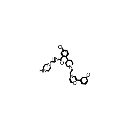 O=C1C=CC=C(C2=CN(CCN3CCC(c4ccc(Cl)cc4C(=O)NCCN4CCNCC4)CC3)C=CO2)C1